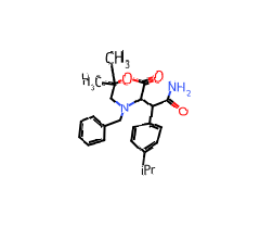 CC(C)c1ccc(C(C(N)=O)C2C(=O)OC(C)(C)CN2Cc2ccccc2)cc1